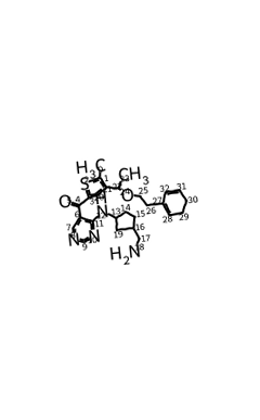 Cc1sc(C(=O)c2cncnc2NC2CCC(CN)C2)cc1C(C)OCCC1=CCCC=C1